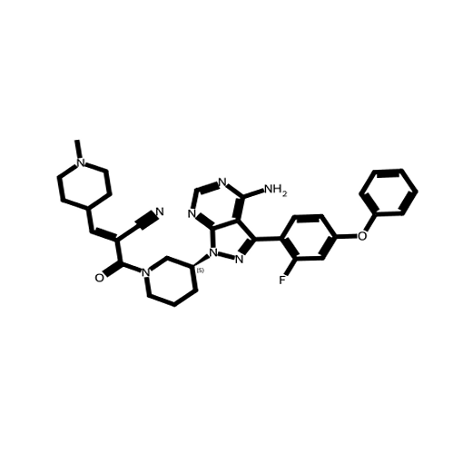 CN1CCC(C=C(C#N)C(=O)N2CCC[C@H](n3nc(-c4ccc(Oc5ccccc5)cc4F)c4c(N)ncnc43)C2)CC1